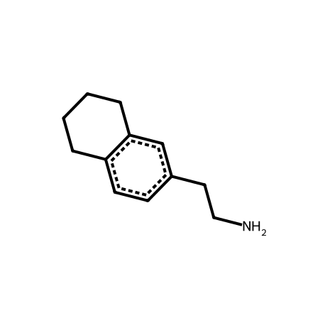 NCCc1ccc2c(c1)CCCC2